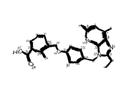 CCc1nc2c(C)cc(C)nc2n1Cc1ccc(OCc2cccc(C(=O)O)c2C)cc1